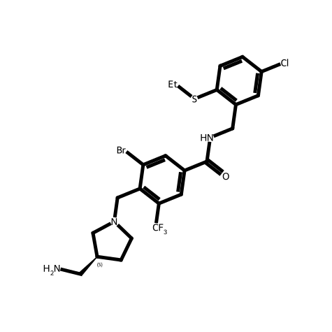 CCSc1ccc(Cl)cc1CNC(=O)c1cc(Br)c(CN2CC[C@@H](CN)C2)c(C(F)(F)F)c1